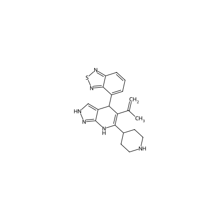 C=C(C)C1=C(C2CCNCC2)Nc2n[nH]cc2C1c1cccc2nsnc12